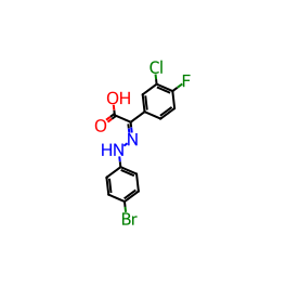 O=C(O)/C(=N\Nc1ccc(Br)cc1)c1ccc(F)c(Cl)c1